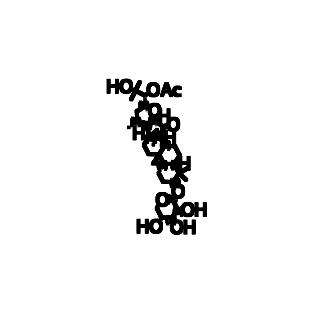 CC(=O)OC([C@H]1C[C@@H](C)[C@H]2[C@H](O1)C(=O)[C@@]1(C)[C@@H]3CC[C@H]4C(C)(C)[C@@H](O[C@@H]5OCC(O)[C@H](O)[C@H]5O)CC[C@@]45CC35CC[C@]21C)C(C)(C)O